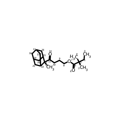 CCC(C)(C)C(=O)OCCCC(=O)C1(C)C2CC3CC(C2)CC1C3